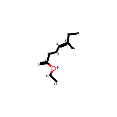 C=C(CC/C=C(\C)CC)OCC